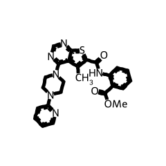 COC(=O)c1ccccc1NC(=O)c1sc2ncnc(N3CCN(c4ccccn4)CC3)c2c1C